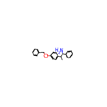 CC(c1ccc(OCc2ccccc2)cc1)C(N)c1ccccc1